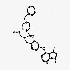 CNC[C@H](Cc1ccc(Oc2ccnc3[nH]cc(C)c23)cc1)C(=O)N1CCN(Cc2ccccc2)CC1